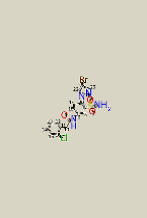 NS(=O)(=O)c1cc(NC(=O)Cc2ccccc2Cl)ccc1-n1cc(Br)cn1